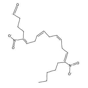 CCCCC/C(=C\C/C=C\C/C=C\C/C=C(\CCC[C]=O)[N+](=O)[O-])[N+](=O)[O-]